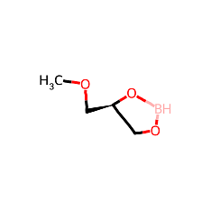 COC[C@@H]1COBO1